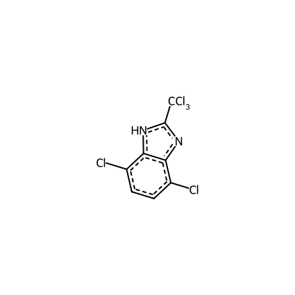 Clc1ccc(Cl)c2[nH]c(C(Cl)(Cl)Cl)nc12